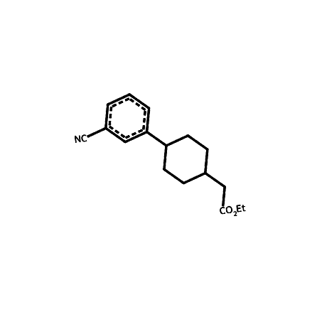 CCOC(=O)CC1CCC(c2cccc(C#N)c2)CC1